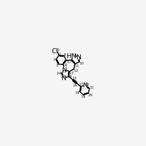 Clc1ccc2c(c1)-c1[nH]ncc1Cc1c(C#Cc3ccccn3)ncn1-2